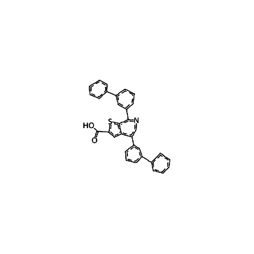 O=C(O)c1cc2c(-c3cccc(-c4ccccc4)c3)cnc(-c3cccc(-c4ccccc4)c3)c2s1